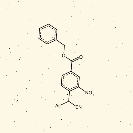 CC(=O)C(C#N)c1ccc(C(=O)OCc2ccccc2)cc1[N+](=O)[O-]